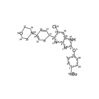 CCCCc1ccc(Oc2nc3nc(C4C=CC(N5CCOCC5)=CC4)c(Cl)cc3[nH]2)cc1